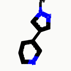 CC(C)n1cc(-c2cccnc2)cn1